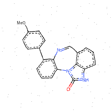 COc1ccc(-c2cccc3c2N=Cc2cccc4[nH]c(=O)n-3c24)cc1